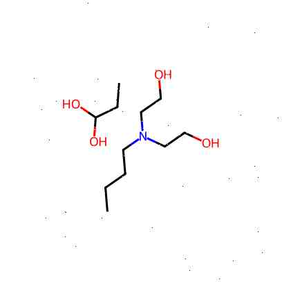 CCC(O)O.CCCCN(CCO)CCO